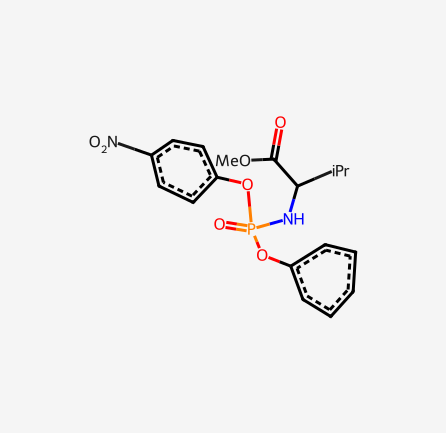 COC(=O)C(NP(=O)(Oc1ccccc1)Oc1ccc([N+](=O)[O-])cc1)C(C)C